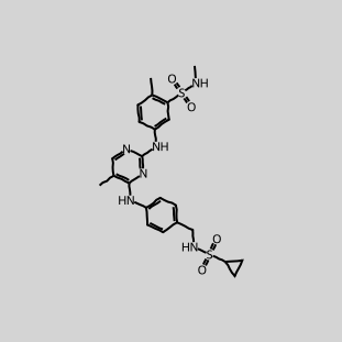 CNS(=O)(=O)c1cc(Nc2ncc(C)c(Nc3ccc(CNS(=O)(=O)C4CC4)cc3)n2)ccc1C